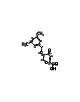 Cc1cc(C)cc(COc2coc(C(=O)O)cc2=O)c1